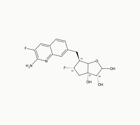 Nc1nc2cc(C[C@H]3C4OC(O)[C@H](O)[C@@]4(O)C[C@@H]3F)ccc2cc1F